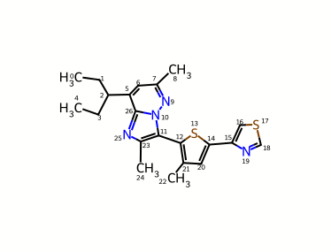 CCC(CC)c1cc(C)nn2c(-c3sc(-c4cscn4)cc3C)c(C)nc12